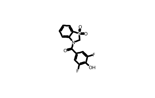 O=C(c1cc(F)c(O)c(F)c1)N1CS(=O)(=O)c2ccccc21